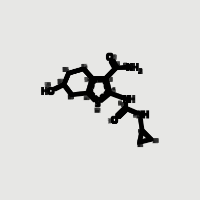 NC(=O)c1c(NC(=O)NC2CC2)sc2c1CCC(O)C2